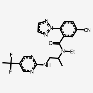 CCN(C(=O)c1cc(C#N)ccc1-n1nccn1)C(C)CNc1ncc(C(C)(F)F)cn1